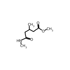 CNC(=O)CC(C)CC(=O)OC